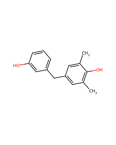 Cc1cc(Cc2cccc(O)c2)cc(C)c1O